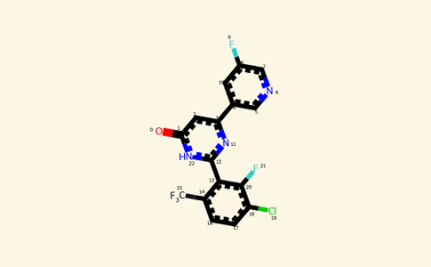 O=c1cc(-c2cncc(F)c2)nc(-c2c(C(F)(F)F)ccc(Cl)c2F)[nH]1